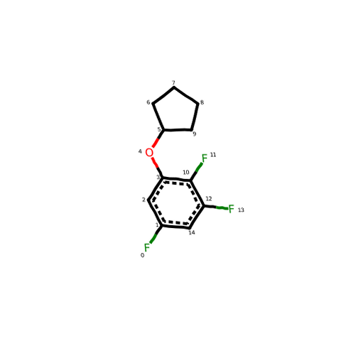 Fc1[c]c(OC2CCCC2)c(F)c(F)c1